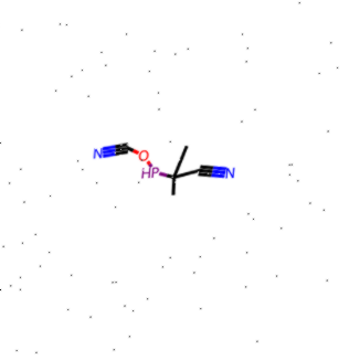 CC(C)(C#N)POC#N